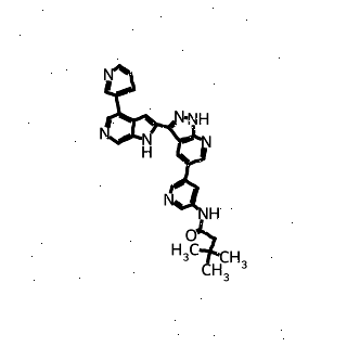 CC(C)(C)CC(=O)Nc1cncc(-c2cnc3[nH]nc(-c4cc5c(-c6cccnc6)cncc5[nH]4)c3c2)c1